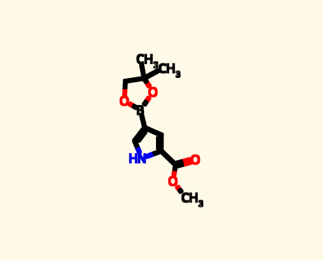 COC(=O)c1cc(B2OCC(C)(C)O2)c[nH]1